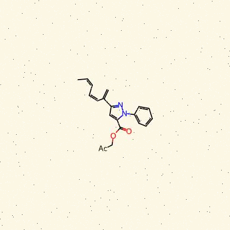 C=C(/C=C\C=C/C)c1cc(C(=O)OCC(C)=O)n(-c2ccccc2)n1